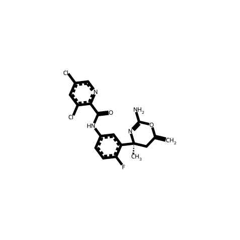 C=C1C[C@@](C)(c2cc(NC(=O)c3ncc(Cl)cc3Cl)ccc2F)N=C(N)O1